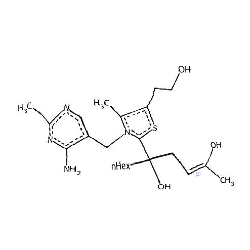 CCCCCCC(O)(C/C=C(/C)O)c1sc(CCO)c(C)[n+]1Cc1cnc(C)nc1N